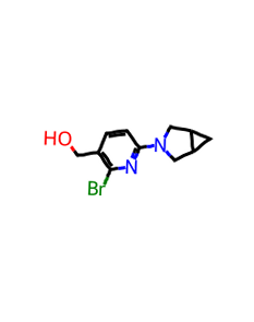 OCc1ccc(N2CC3CC3C2)nc1Br